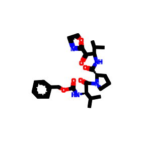 CC(C)C(NC(=O)[C@@H]1CCCN1C(=O)[C@@H](NC(=O)OCc1ccccc1)C(C)C)C(=O)c1ncco1